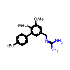 COc1cc(CN=C(N)N)cc(-c2ccc(C(C)(C)C)cc2)c1OC